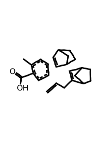 C1=CC2CCC1C2.C=CCC1=CC2CCC1C2.Cc1ccccc1C(=O)O